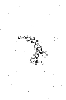 COc1ccc(C(=S)NC(=N)c2cccc(CN(CC3CCCCC3)C(=O)Nc3ccc(-c4ccccc4S(N)(=O)=O)cc3)c2)cc1